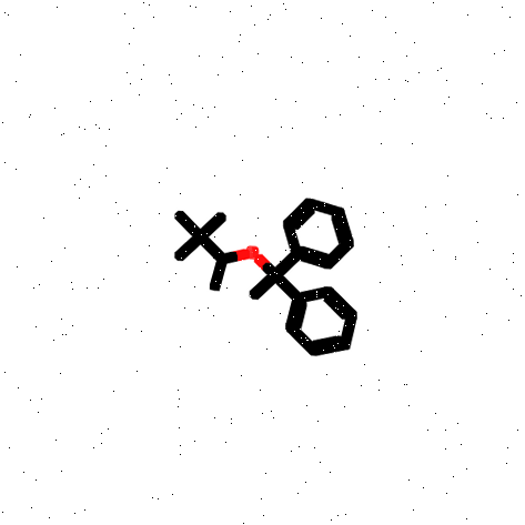 CC(OC(C)(c1ccccc1)c1ccccc1)C(C)(C)C